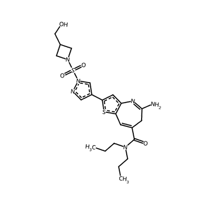 CCCN(CCC)C(=O)C1=Cc2sc(-c3cnn(S(=O)(=O)N4CC(CO)C4)c3)cc2N=C(N)C1